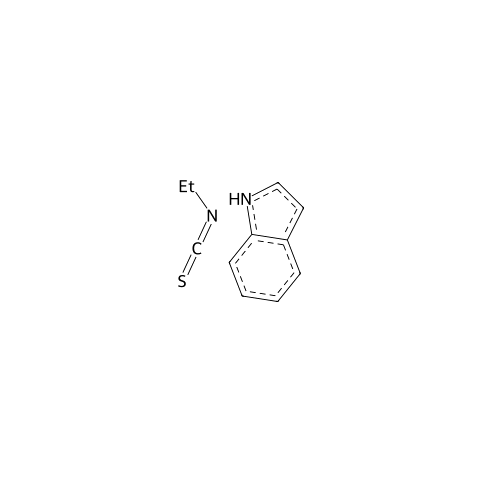 CCN=C=S.c1ccc2[nH]ccc2c1